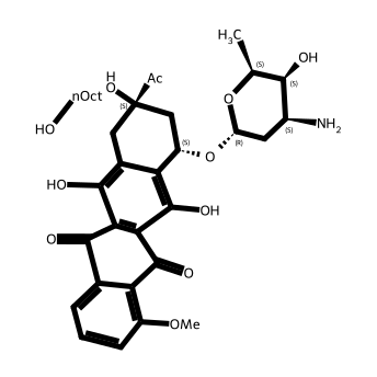 CCCCCCCCO.COc1cccc2c1C(=O)c1c(O)c3c(c(O)c1C2=O)C[C@@](O)(C(C)=O)C[C@@H]3O[C@H]1C[C@H](N)[C@H](O)[C@H](C)O1